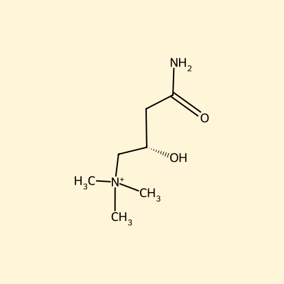 C[N+](C)(C)C[C@@H](O)CC(N)=O